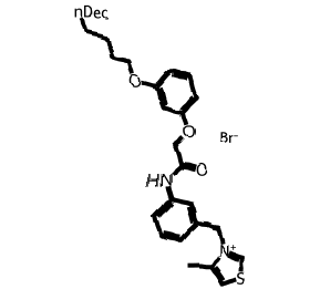 CCCCCCCCCCCCCCOc1cccc(OCC(=O)Nc2cccc(C[n+]3cscc3C)c2)c1.[Br-]